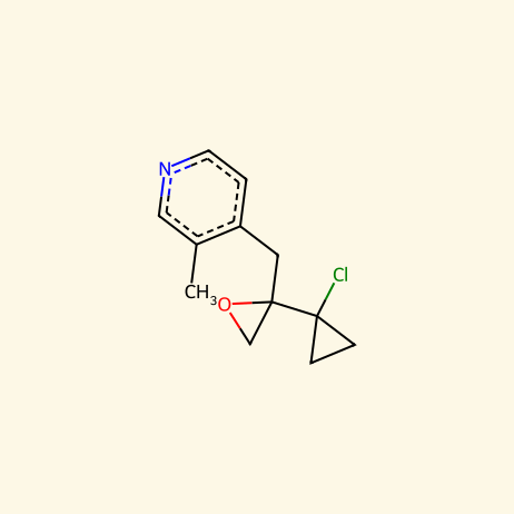 Cc1cnccc1CC1(C2(Cl)CC2)CO1